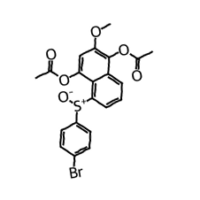 COc1cc(OC(C)=O)c2c([S+]([O-])c3ccc(Br)cc3)cccc2c1OC(C)=O